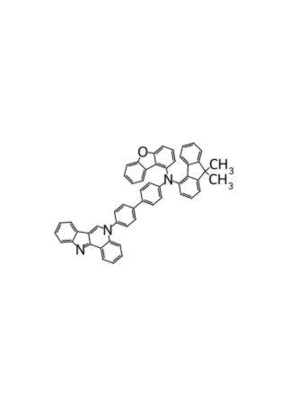 CC1(C)c2ccccc2-c2c(N(c3ccc(-c4ccc(-n5cc6c7ccccc7nc-6c6ccccc65)cc4)cc3)c3cccc4oc5ccccc5c34)cccc21